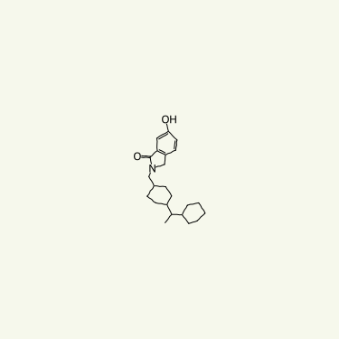 CC(C1CCCCC1)C1CCC(CN2Cc3ccc(O)cc3C2=O)CC1